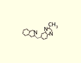 Cc1cnc2ccc(Cc3cc4ccccc4cn3)cc2n1